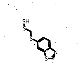 SSCSc1ccc2ncsc2c1